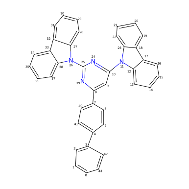 c1ccc(-c2ccc(-c3cc(-n4c5ccccc5c5ccccc54)nc(-n4c5ccccc5c5ccccc54)n3)cc2)cc1